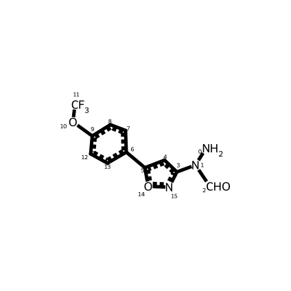 NN(C=O)c1cc(-c2ccc(OC(F)(F)F)cc2)on1